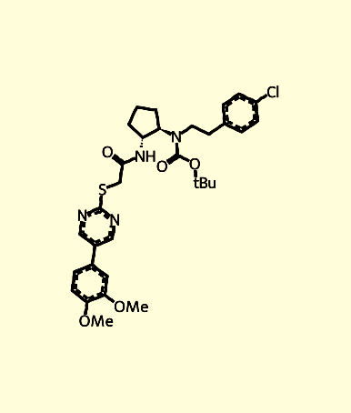 COc1ccc(-c2cnc(SCC(=O)N[C@@H]3CCC[C@H]3N(CCc3ccc(Cl)cc3)C(=O)OC(C)(C)C)nc2)cc1OC